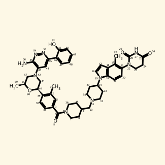 Cc1cc(C(=O)N2CCC(CN3CCC(n4ccc5c(C)c(N6CCC(=O)NC6=O)ccc54)CC3)CC2)ccc1[C@@H]1CN(c2cc(-c3ccccc3O)nnc2N)C[C@H](C)O1